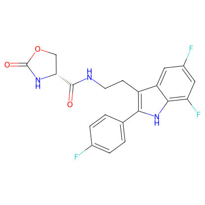 O=C1N[C@@H](C(=O)NCCc2c(-c3ccc(F)cc3)[nH]c3c(F)cc(F)cc23)CO1